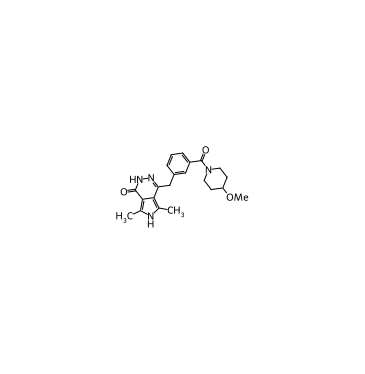 COC1CCN(C(=O)c2cccc(Cc3n[nH]c(=O)c4c(C)[nH]c(C)c34)c2)CC1